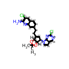 CC1(C)O[C@@H]2[C@H](O1)C(CCc1ccc3cc(Cl)c(N)nc3c1)=C[C@H]2n1ccc2cnc(Cl)nc21